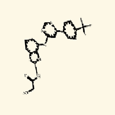 O=C(CO)Nc1nc2c(Oc3cc(-c4ccc(C(F)(F)F)cc4)ncn3)cccc2s1